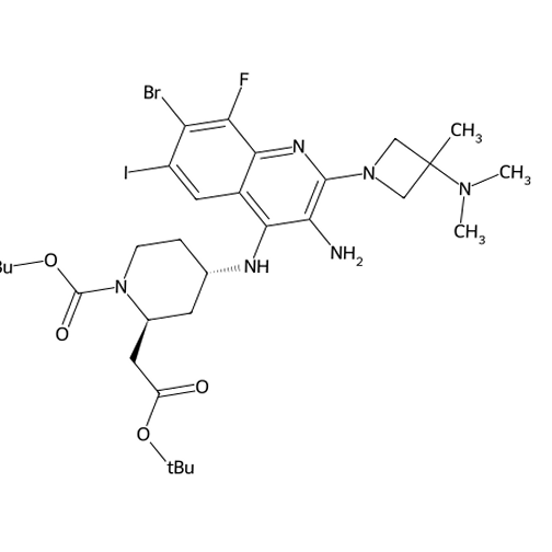 CN(C)C1(C)CN(c2nc3c(F)c(Br)c(I)cc3c(N[C@H]3CCN(C(=O)OC(C)(C)C)[C@H](CC(=O)OC(C)(C)C)C3)c2N)C1